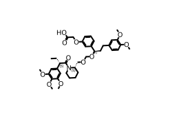 CC[C@H](C(=O)N1CCCC[C@H]1COCO[C@H](CCc1ccc(OC)c(OC)c1)c1cccc(OCC(=O)O)c1)c1cc(OC)c(OC)c(OC)c1